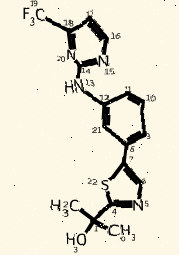 CC(C)(O)c1ncc(-c2cccc(Nc3nccc(C(F)(F)F)n3)c2)s1